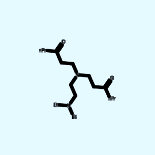 CCCC(=O)CCN(CCC(=O)CCC)CCN(CC)CC